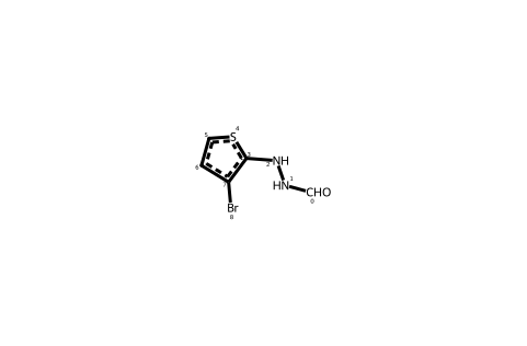 O=CNNc1sccc1Br